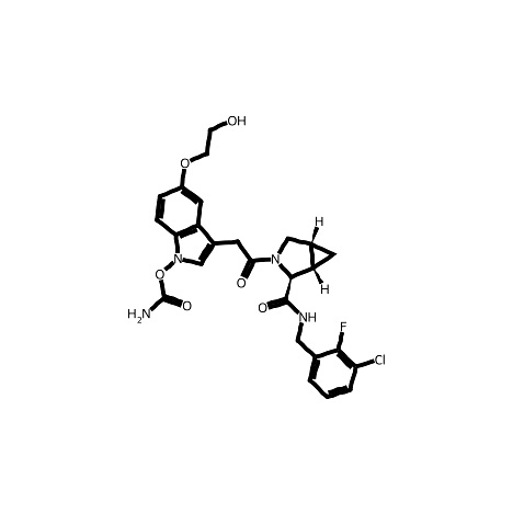 NC(=O)On1cc(CC(=O)N2C[C@@H]3C[C@@H]3[C@H]2C(=O)NCc2cccc(Cl)c2F)c2cc(OCCO)ccc21